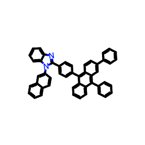 c1ccc(-c2ccc3c(-c4ccc(-c5nc6ccccc6n5-c5ccc6ccccc6c5)cc4)c4ccccc4c(-c4ccccc4)c3c2)cc1